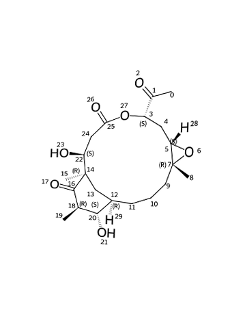 CC(=O)[C@@H]1C[C@@H]2O[C@]2(C)CCC[C@@H]2C[C@@](C)(C(=O)[C@H](C)[C@H]2O)[C@@H](O)CC(=O)O1